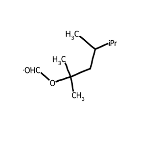 CC(C)C(C)CC(C)(C)O[C]=O